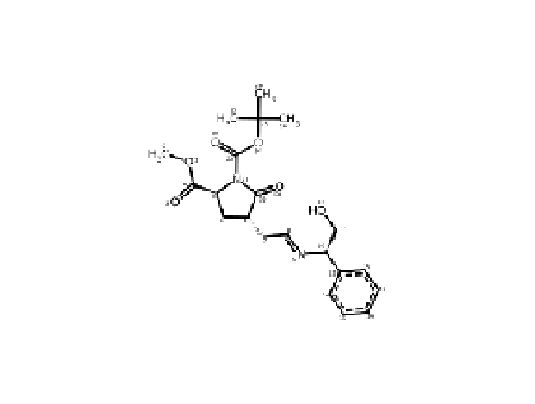 COC(=O)[C@@H]1C[C@@H](C/C=N/[C@@H](CO)c2ccccc2)C(=O)N1C(=O)OC(C)(C)C